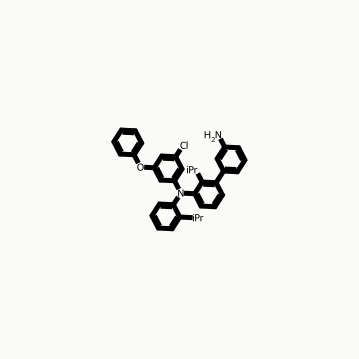 CC(C)c1ccccc1N(c1cc(Cl)cc(Oc2ccccc2)c1)c1cccc(-c2cccc(N)c2)c1C(C)C